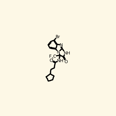 O=C(CCC1CCCC1)NC1(C(F)(F)F)C(=O)Nc2nc3c(Br)cccc3n21